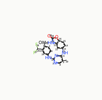 COc1ccc(Nc2ncc(C)c(Nc3ccc4oc(=O)[nH]c4c3)n2)cc1C(F)F